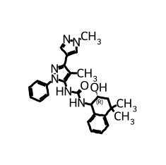 Cc1c(-c2cnn(C)c2)nn(-c2ccccc2)c1NC(=O)NC1c2ccccc2C(C)(C)C[C@H]1O